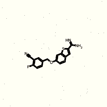 N#Cc1cc(COc2ccc3cc(C(=N)N)sc3c2)ccc1F